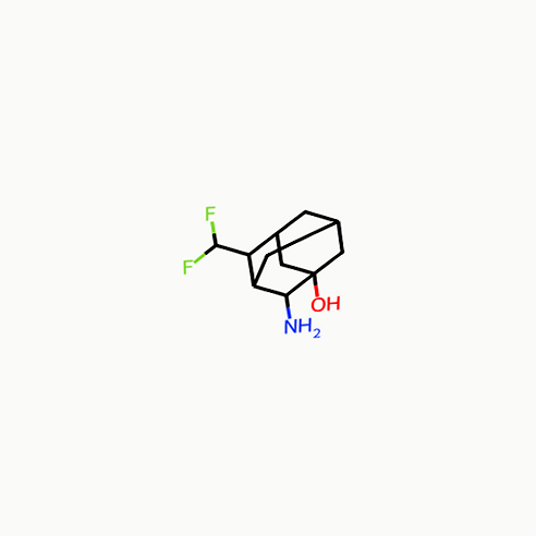 NC1C2CC3CC(CC1(O)C3)C2C(F)F